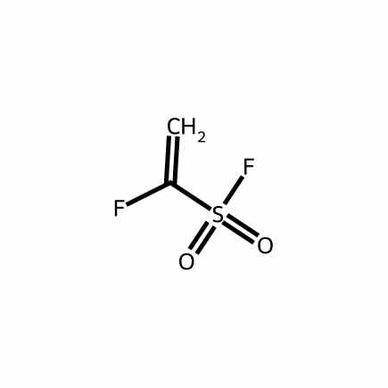 C=C(F)S(=O)(=O)F